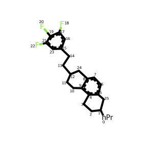 CCCC1CCc2c(ccc3c2CCC(CCc2cc(F)c(F)c(F)c2)C3)C1